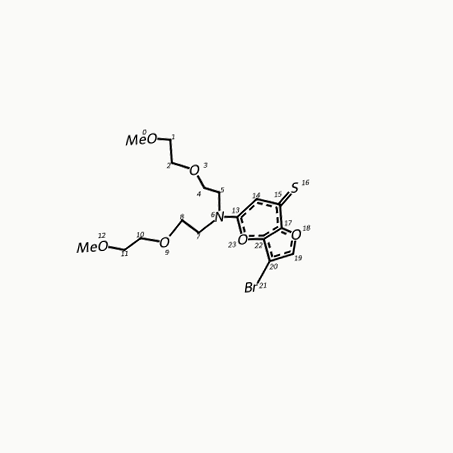 COCCOCCN(CCOCCOC)c1cc(=S)c2occ(Br)c2o1